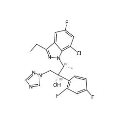 CCc1nn([C@H](C)[C@](O)(Cn2cncn2)c2ccc(F)cc2F)c2c(Cl)cc(F)cc12